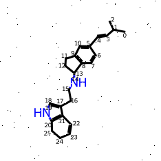 CC(C)/C=C/c1ccc2c(c1)CCC2NCCc1c[nH]c2c1C=CCC2